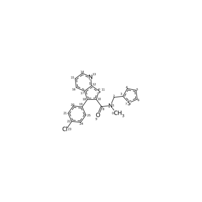 CN(Cc1cccs1)C(=O)c1sc2ncccc2c1-c1ccc(Cl)cc1